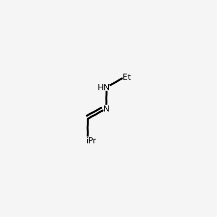 CCN/N=C/C(C)C